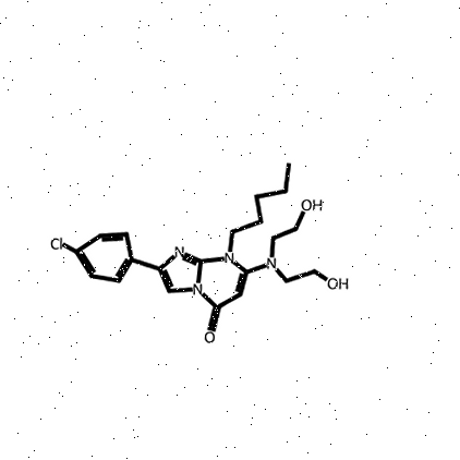 CCCCCn1c(N(CCO)CCO)cc(=O)n2cc(-c3ccc(Cl)cc3)nc12